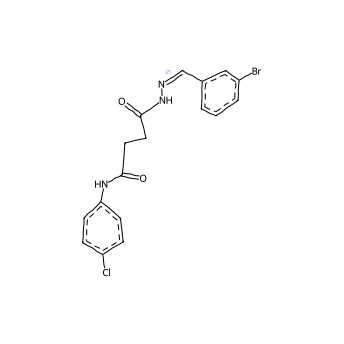 O=C(CCC(=O)Nc1ccc(Cl)cc1)N/N=C\c1cccc(Br)c1